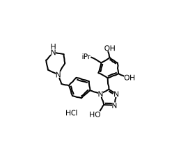 CC(C)c1cc(-c2nnc(O)n2-c2ccc(CN3CCNCC3)cc2)c(O)cc1O.Cl